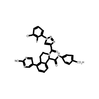 N#Cc1ncc(-c2cccc3c2CCN(C(=O)c2cn(-c4cccc(Cl)c4F)nn2)C3C(=O)Nc2ccc(C(=O)O)cc2)cn1